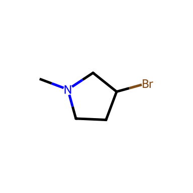 CN1CCC(Br)C1